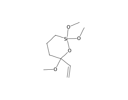 C=CC1(OC)CCC[Si](OC)(OC)O1